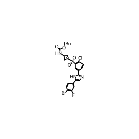 CC(C)(C)OC(=O)NC1CN(S(=O)(=O)c2cc(-c3ncc(-c4ccc(Br)c(F)c4)[nH]3)ccc2Cl)C1